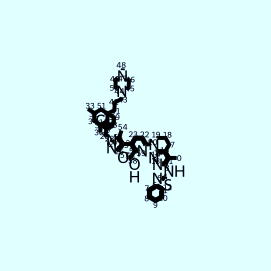 Cc1c(Nc2nc3ccccc3s2)nnc2c1CCCN2c1ccc(-c2cnn(CC3CC4(C)CC5(C)CC3CC(CCCN3CCN(C)CC3)(C4)C5)c2C)c(C(=O)O)n1